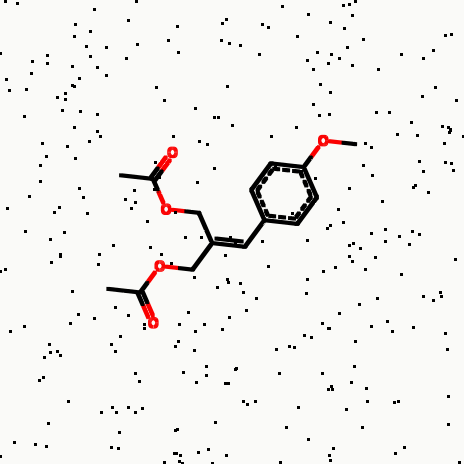 COc1ccc(C=C(COC(C)=O)COC(C)=O)cc1